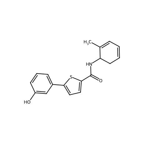 CC1=CC=CCC1NC(=O)c1ccc(-c2cccc(O)c2)s1